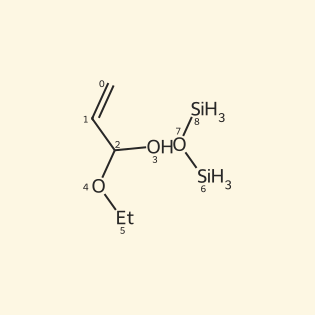 C=CC(O)OCC.[SiH3]O[SiH3]